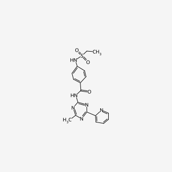 CCS(=O)(=O)Nc1ccc(C(=O)Nc2nc(C)nc(-c3ccccn3)n2)cc1